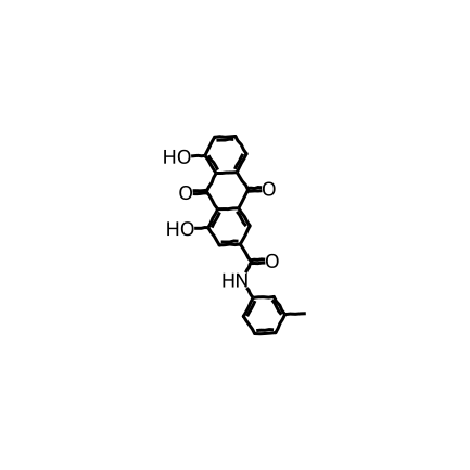 Cc1cccc(NC(=O)c2cc(O)c3c(c2)C(=O)c2cccc(O)c2C3=O)c1